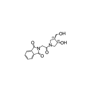 O=C(CN1C(=O)c2ccccc2C1=O)N1C[C@@H](CO)[C@@H](O)C1